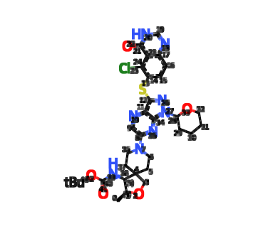 C[C@@H]1OCC2(CCN(c3cnc4c(Sc5ccc6nc[nH]c(=O)c6c5Cl)nn(C5CCCCO5)c4n3)CC2)[C@@H]1NC(=O)OC(C)(C)C